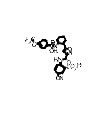 N#Cc1ccc(NC(=O)c2cc(-c3ccccc3NS(=O)(=O)c3ccc(OC(F)(F)F)cc3)on2)c(C(=O)O)c1